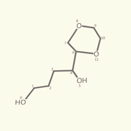 OCCCC(O)C1COCCO1